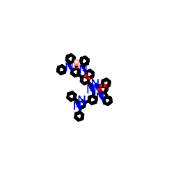 c1ccc(-c2cc(-c3ccc(-n4c5ccccc5c5ccccc54)c(-c4nc(-c5ccccc5)nc(-c5ccc(-c6ccc7c8c6N(c6ccccc6)c6ccccc6B8c6ccccc6N7c6ccccc6)cc5)n4)c3)nc(-c3ccccc3)n2)cc1